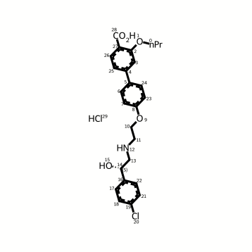 CCCOc1cc(-c2ccc(OCCNC[C@@H](O)c3ccc(Cl)cc3)cc2)ccc1C(=O)O.Cl